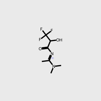 C/C(=N\C(=O)C(O)C(F)(F)F)N(C)C